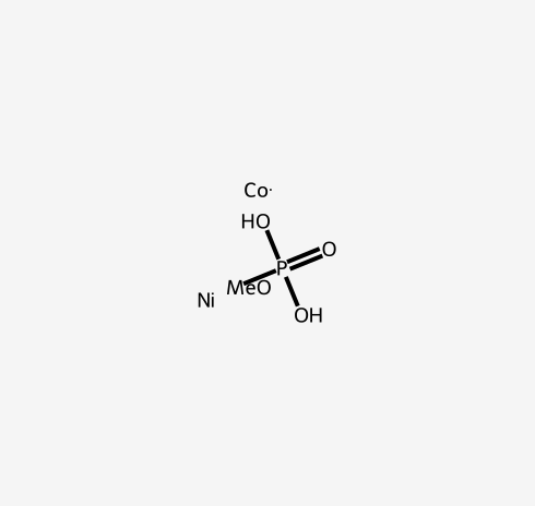 COP(=O)(O)O.[Co].[Ni]